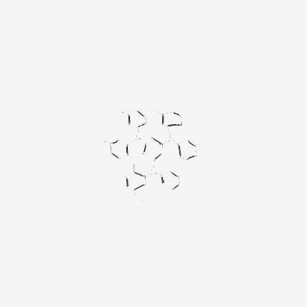 CC(C)(C)c1cccc(N(c2cccc(C(C)(C)C)c2)c2cc3c4c(c2)N(c2cccc(C(C)(C)C)c2)c2cc(C(C)(C)C)ccc2B4c2ccc(C(C)(C)C)cc2N3c2cccc(C(C)(C)C)c2)c1